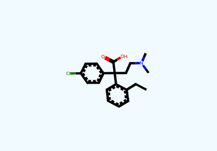 CCc1ccccc1C(CCN(C)C)(C(=O)O)c1ccc(Cl)cc1